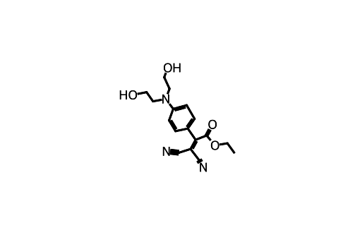 CCOC(=O)C(=C(C#N)C#N)c1ccc(N(CCO)CCO)cc1